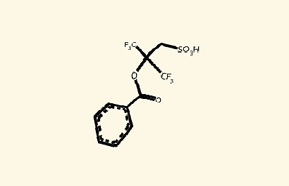 O=C(OC(CS(=O)(=O)O)(C(F)(F)F)C(F)(F)F)c1ccccc1